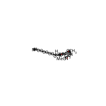 COc1ccc(-c2ccc3ncc4c(c3c2)n(-c2ccc(N3CCN(c5ncc(CNC(=O)CCOCCOCCOCCOCCOCCOCCN=[N+]=[N-])cn5)CC3)c(C(F)(F)F)c2)c(=O)n4C)cn1